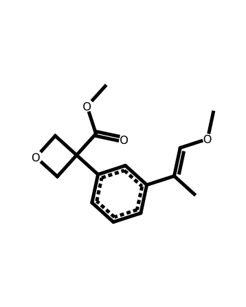 COC=C(C)c1cccc(C2(C(=O)OC)COC2)c1